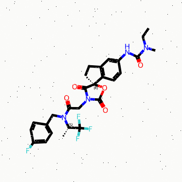 CCN(C)C(=O)Nc1ccc2c(c1)CC[C@@]21OC(=O)N(CC(=O)N(Cc2ccc(F)cc2)[C@@H](C)C(F)(F)F)C1=O